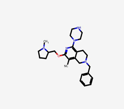 CN1CCCC1COc1nc(N2CCNCC2)c2c(c1C#N)CN(Cc1ccccc1)CC2